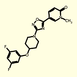 Cn1cc(-c2nc(N3CCC(Oc4cc(F)cc(F)c4)CC3)no2)ccc1=O